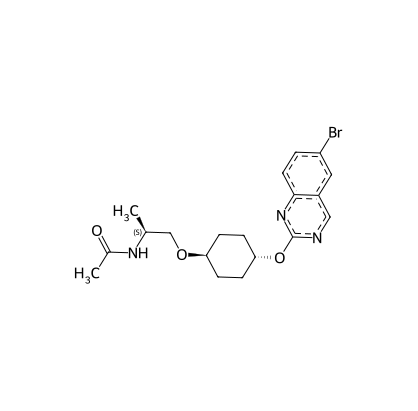 CC(=O)N[C@@H](C)CO[C@H]1CC[C@H](Oc2ncc3cc(Br)ccc3n2)CC1